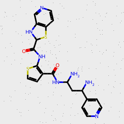 NC(CC(N)c1ccncc1)NC(=O)c1ccsc1NC(=O)C1Nc2cnccc2S1